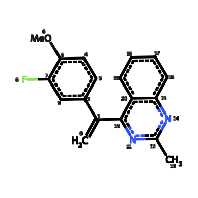 C=C(c1ccc(OC)c(F)c1)c1nc(C)nc2ccccc12